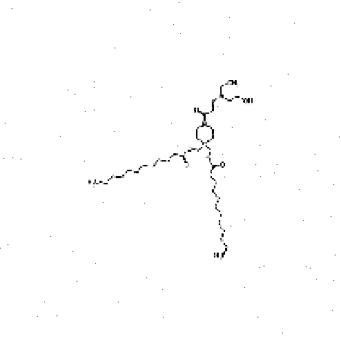 CCCCCCCCCCCC(=O)OCC1(COC(=O)CCCCCCCCCCC)CCN(C(=O)CCN(CC)CCO)CC1